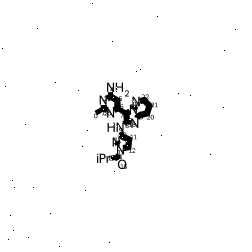 Cc1nc(N)cc(-c2c(Nc3ccn(C(=O)C(C)C)n3)nc3cccnn23)n1